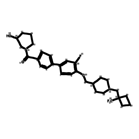 O=C(c1ccc(-c2ccc(OCC3CCN(CC4(C(F)(F)F)CCC4)CC3)c(F)c2)cc1)N1CCCC(O)C1